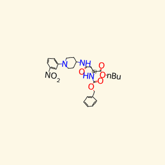 CCCCOC(=O)[C@H](CC(=O)NC1CCN(c2cccc([N+](=O)[O-])c2)CC1)NC(=O)OCc1ccccc1